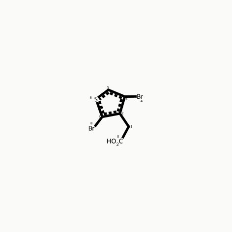 O=C(O)Cc1c(Br)csc1Br